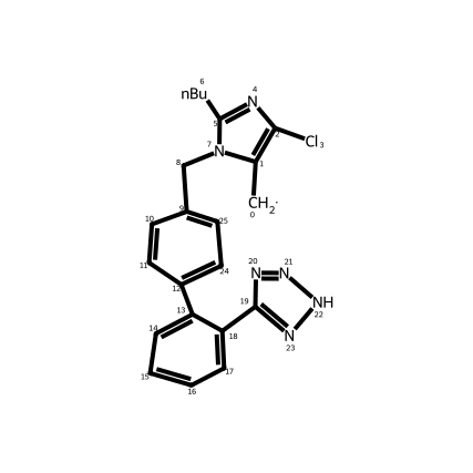 [CH2]c1c(Cl)nc(CCCC)n1Cc1ccc(-c2ccccc2-c2nn[nH]n2)cc1